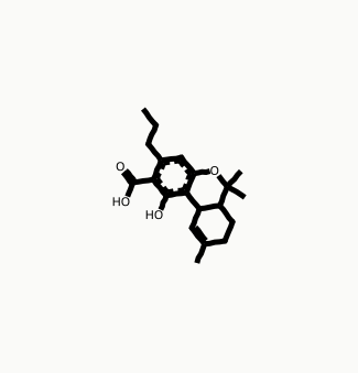 CCCc1cc2c(c(O)c1C(=O)O)C1C=C(C)CCC1C(C)(C)O2